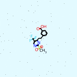 CS(=O)(=O)c1ncc(C(F)(F)F)c(CCc2cccc(C(=O)O)c2)n1